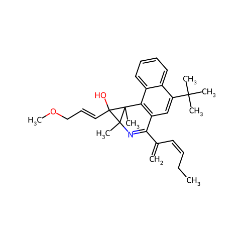 C=C(/C=C\CC)C1=NC2(C)C(O)(/C=C/COC)C2(C)c2c1cc(C(C)(C)C)c1ccccc21